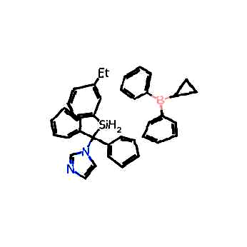 CCc1cccc([SiH2]C(c2ccccc2)(c2ccccc2)n2ccnc2)c1.c1ccc(B(c2ccccc2)C2CC2)cc1